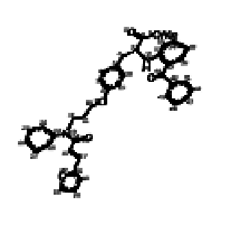 COC(=O)[C@H](Cc1ccc(OCCCN(C(=O)/C=C/c2ccco2)c2ccccc2)cc1)Nc1ccccc1C(=O)c1ccccc1